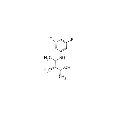 C=C(O)C(=C)C(C)Nc1cc(F)cc(F)c1